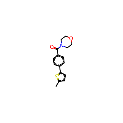 Cc1ccc(-c2ccc(C(=O)N3CCOCC3)cc2)s1